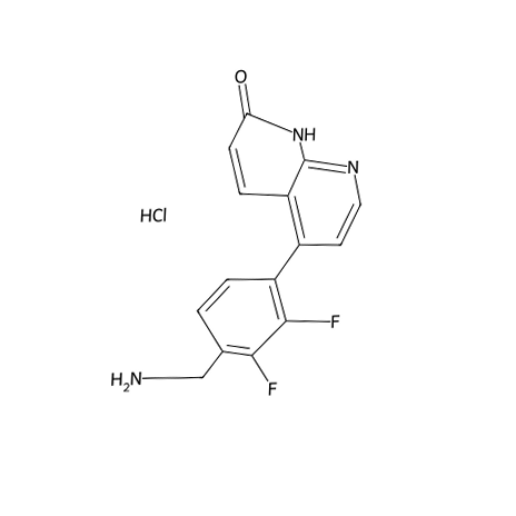 Cl.NCc1ccc(-c2ccnc3[nH]c(=O)ccc23)c(F)c1F